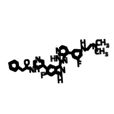 CN(C)CCNc1cc(F)cc(-c2ccnc3[nH]c(-c4n[nH]c5cc(F)c(-c6cncc(NC(=O)Cc7ccccc7)c6)cc45)nc23)c1